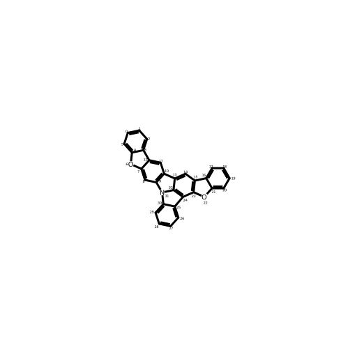 c1ccc2c(c1)oc1cc3c(cc12)c1cc2c4ccccc4oc2c2c4ccccc4n3c12